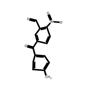 Cc1ccc(C(=O)c2ccc([N+](=O)[O-])c(C=O)c2)cc1